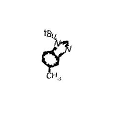 Cc1ccc2c(c1)ncn2C(C)(C)C